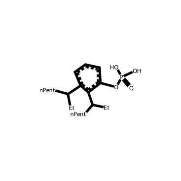 CCCCCC(CC)c1cccc(OP(=O)(O)O)c1C(CC)CCCCC